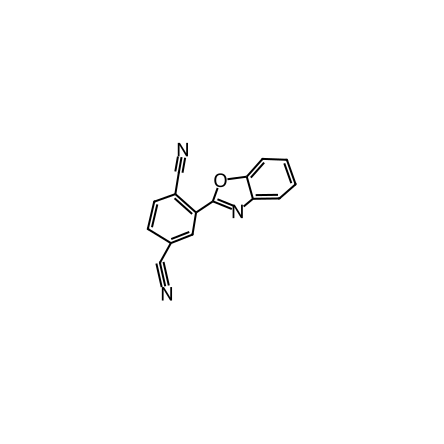 N#Cc1ccc(C#N)c(-c2nc3ccccc3o2)c1